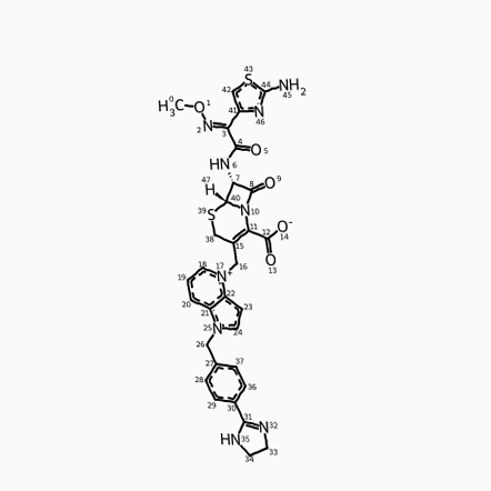 CON=C(C(=O)N[C@@H]1C(=O)N2C(C(=O)[O-])=C(C[n+]3cccc4c3ccn4Cc3ccc(C4=NCCN4)cc3)CS[C@H]12)c1csc(N)n1